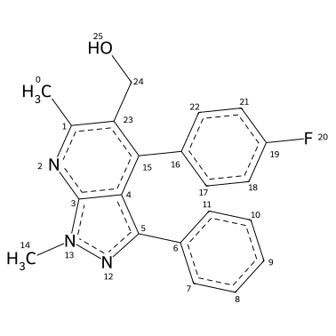 Cc1nc2c(c(-c3ccccc3)nn2C)c(-c2ccc(F)cc2)c1CO